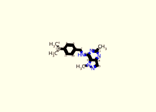 CB(C)c1ccc(CNc2nc(C)nc3cnn(C)c23)cc1